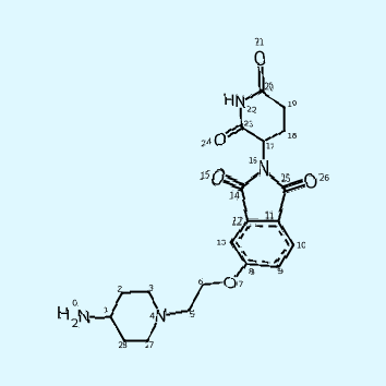 NC1CCN(CCOc2ccc3c(c2)C(=O)N(C2CCC(=O)NC2=O)C3=O)CC1